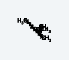 CCCCCCCCCC(CCCCCC)OC(=O)C(C)C